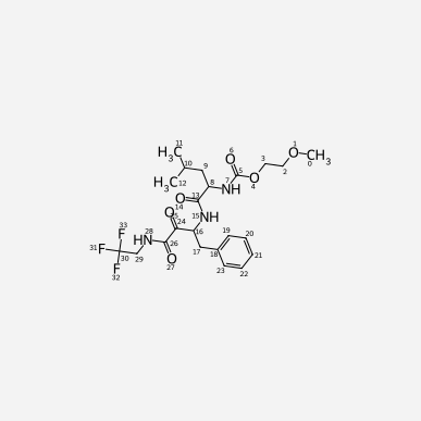 COCCOC(=O)NC(CC(C)C)C(=O)NC(Cc1ccccc1)C(=O)C(=O)NCC(F)(F)F